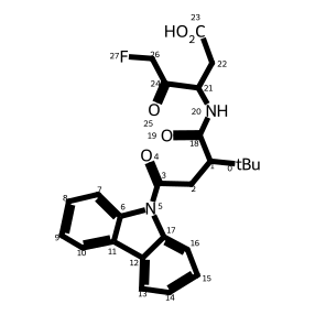 CC(C)(C)C(CC(=O)n1c2ccccc2c2ccccc21)C(=O)NC(CC(=O)O)C(=O)CF